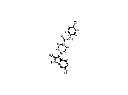 O=c1[nH]c2cc(F)ccc2n1C1CCN(C(=S)Nc2ccc(Cl)cc2)CC1